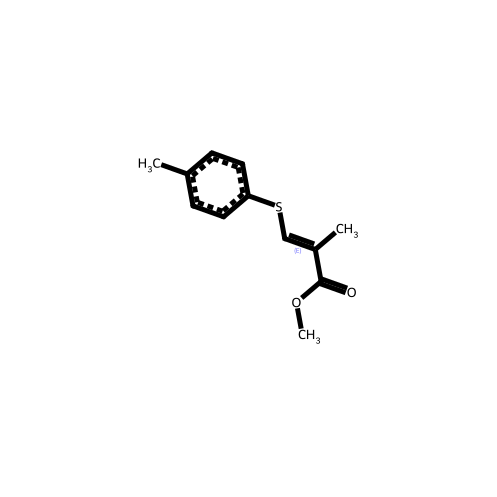 COC(=O)/C(C)=C/Sc1ccc(C)cc1